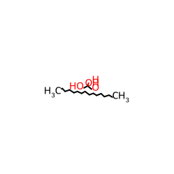 CCCCCCCCCCCCCCCC.OCC(O)CO